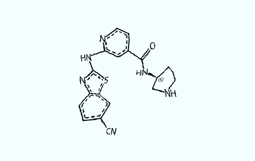 N#Cc1ccc2nc(Nc3cc(C(=O)N[C@H]4CCNC4)ccn3)sc2c1